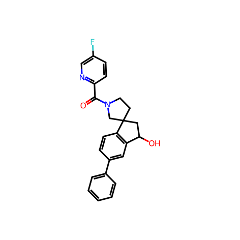 O=C(c1ccc(F)cn1)N1CCC2(CC(O)c3cc(-c4ccccc4)ccc32)C1